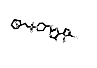 Cc1ncc(-c2nc(NC3CCN(S(=O)(=O)CCN4CC5CCC4CC5)CC3)ncc2F)n1C(C)C